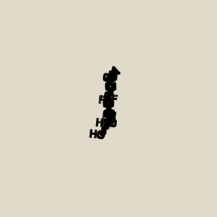 CC1(OC(=O)N2CCC(COc3c(F)cc(-c4cnc(C(=O)NCCCO)nc4)cc3F)CC2)CC1